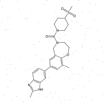 Cc1nc2ccc(-c3cc(C)c4c(c3)CN(C(=O)N3CCC(S(C)(=O)=O)CC3)CCO4)cc2[nH]1